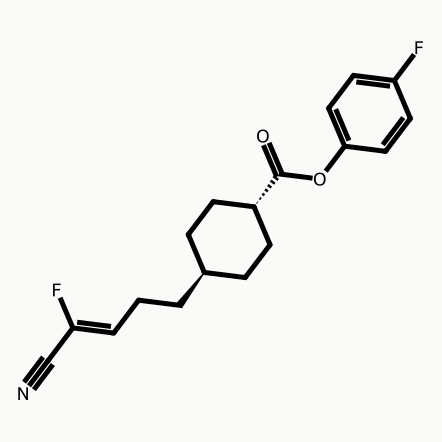 N#CC(F)=CCC[C@H]1CC[C@H](C(=O)Oc2ccc(F)cc2)CC1